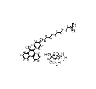 CCN(CC)CCCCCCCCCCOc1ccc(C(=C(Cl)c2ccccc2)c2ccccc2)cc1.O=C(O)CC(O)(CC(=O)O)C(=O)O